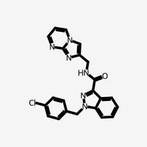 O=C(NCc1cn2cccnc2n1)c1nn(Cc2ccc(Cl)cc2)c2ccccc12